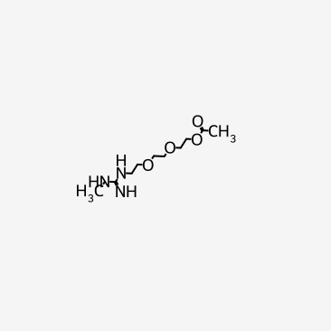 CNC(=N)NCCOCCOCCOC(C)=O